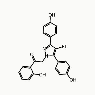 CCc1c(-c2ccc(O)cc2)nn(CC(=O)c2ccccc2O)c1-c1ccc(O)cc1